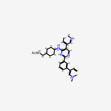 C=C/C(=C\N(C)C)c1cccc(-c2ncc(C(/C=N\C)=C/C)c(NC3CCC(CNC(C)=O)CC3)n2)c1